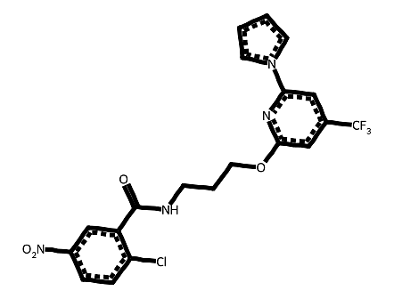 O=C(NCCCOc1cc(C(F)(F)F)cc(-n2cccc2)n1)c1cc([N+](=O)[O-])ccc1Cl